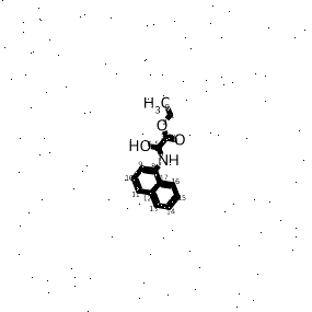 CCOC(=O)C(O)Nc1cccc2ccccc12